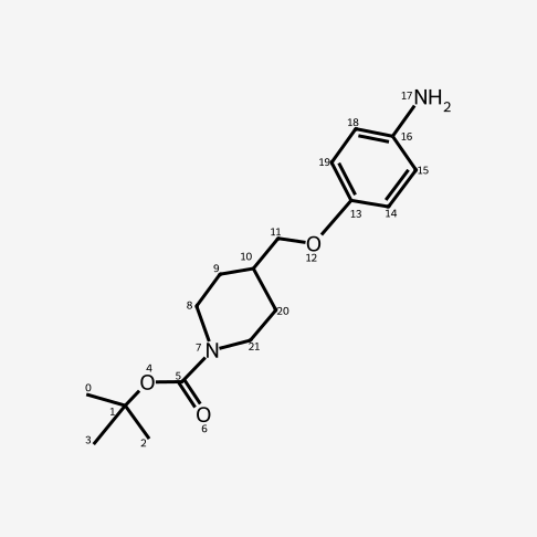 CC(C)(C)OC(=O)N1CCC(COc2ccc(N)cc2)CC1